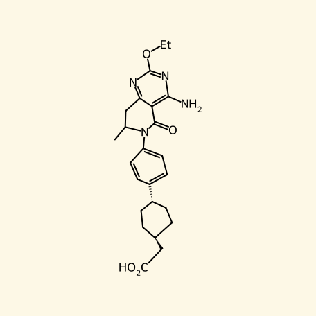 CCOc1nc(N)c2c(n1)CC(C)N(c1ccc([C@H]3CC[C@H](CC(=O)O)CC3)cc1)C2=O